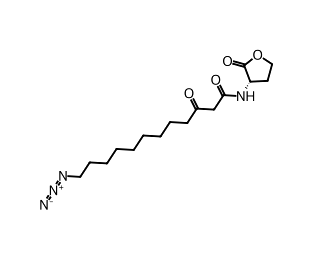 [N-]=[N+]=NCCCCCCCCCC(=O)CC(=O)N[C@H]1CCOC1=O